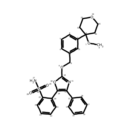 COC1(c2cccc(COc3nc(-c4ccccc4)c(-c4ccccc4S(N)(=O)=O)o3)c2)CCOCC1